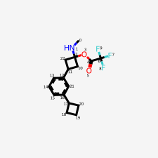 CNC1(OC(=O)C(F)(F)F)CC(c2cccc(C3CCC3)c2)C1